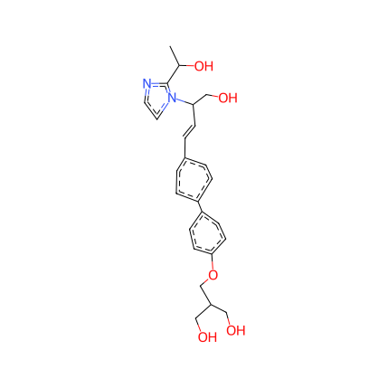 CC(O)c1nccn1C(/C=C/c1ccc(-c2ccc(OCC(CO)CO)cc2)cc1)CO